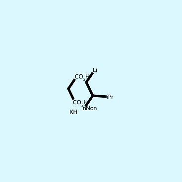 O=C(O)CC(=O)O.[KH].[Li][CH2]C(CCCCCCCCC)C(C)C